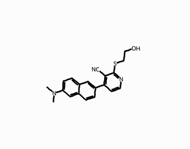 CN(C)c1ccc2cc(-c3ccnc(SCCO)c3C#N)ccc2c1